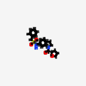 O=C([C@@H]1CCCO1)N1CCc2ccc(NS(=O)(=O)Cc3ccccc3)cc21